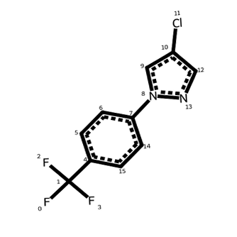 FC(F)(F)c1ccc(-n2cc(Cl)cn2)cc1